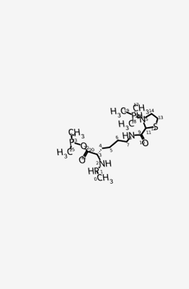 CPN[C@@H](CCCCNC(=O)C1SCCN1[PH](C)(C)C)C(=O)OP(C)C